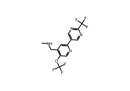 CNCc1cc(-c2cnc(C(F)(F)F)nc2)ncc1OC(F)(F)F